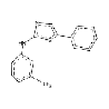 FC(F)(F)c1cccc(Nc2ncc(-c3ccccc3)s2)c1